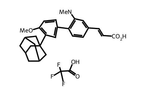 CNc1cc(C=CC(=O)O)ccc1-c1ccc(OC)c(C23CC4CC(CC(C4)C2)C3)c1.O=C(O)C(F)(F)F